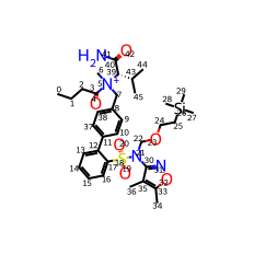 CCCC(=O)[N+](C)(Cc1ccc(-c2ccccc2S(=O)(=O)N(COCC[Si](C)(C)C)c2noc(C)c2C)cc1)[C@H](C(N)=O)C(C)C